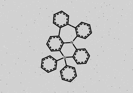 c1ccc([Si]2(c3ccccc3)c3ccccc3N3c4ccccc4-c4ccccc4-c4cccc2c43)cc1